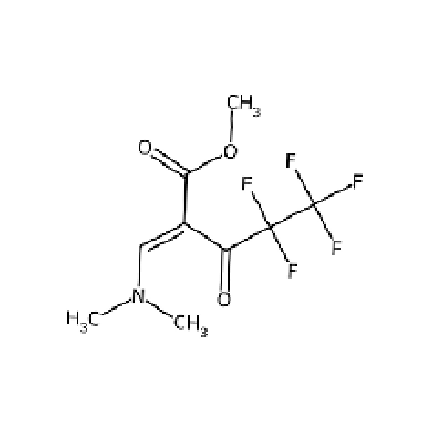 COC(=O)C(=CN(C)C)C(=O)C(F)(F)C(F)(F)F